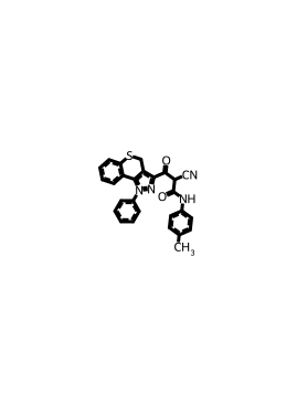 Cc1ccc(NC(=O)C(C#N)C(=O)c2nn(-c3ccccc3)c3c2CSc2ccccc2-3)cc1